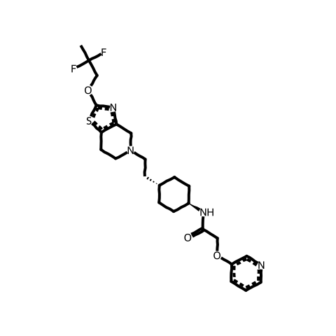 CC(F)(F)COc1nc2c(s1)CCN(CC[C@H]1CC[C@H](NC(=O)COc3cccnc3)CC1)C2